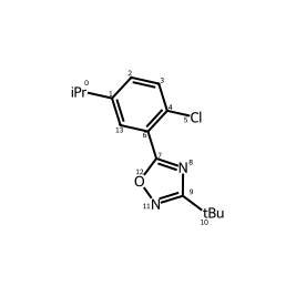 CC(C)c1ccc(Cl)c(-c2nc(C(C)(C)C)no2)c1